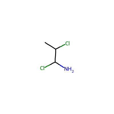 CC(Cl)C(N)Cl